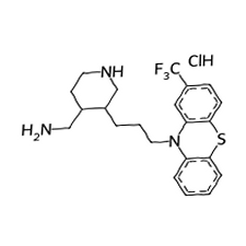 Cl.NCC1CCNCC1CCCN1c2ccccc2Sc2ccc(C(F)(F)F)cc21